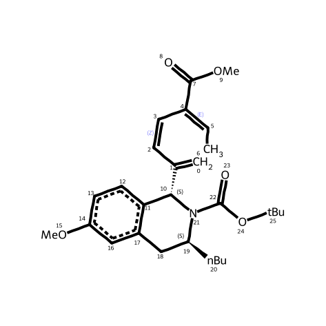 C=C(/C=C\C(=C/C)C(=O)OC)[C@H]1c2ccc(OC)cc2C[C@H](CCCC)N1C(=O)OC(C)(C)C